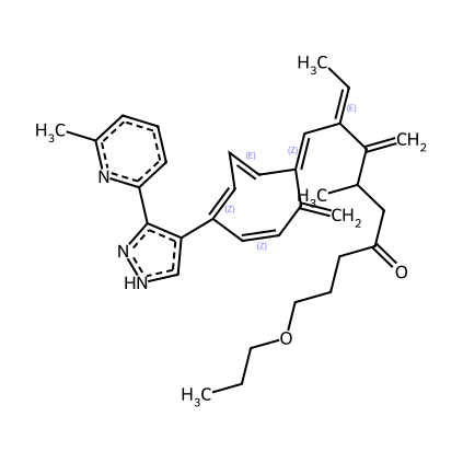 C=C1\C=C/C(c2c[nH]nc2-c2cccc(C)n2)=C/C=C/C1=C/C(=C\C)C(=C)C(C)CC(=O)CCCOCCC